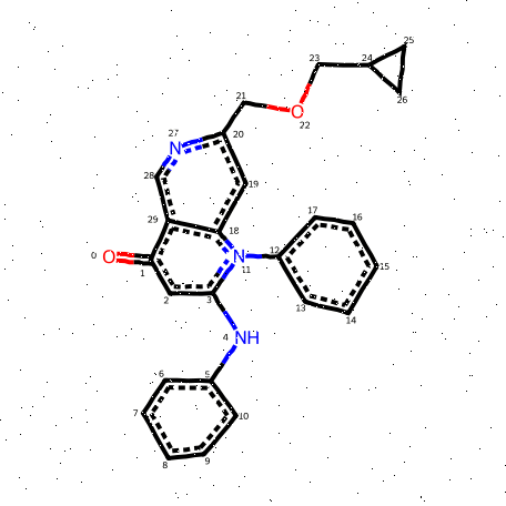 O=c1cc(Nc2ccccc2)n(-c2ccccc2)c2cc(COCC3CC3)ncc12